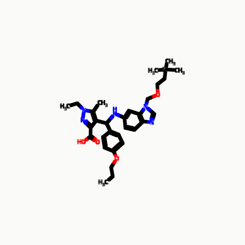 CCCOc1ccc(C(Nc2ccc3ncn(COCC[Si](C)(C)C)c3c2)c2c(C(=O)O)nn(CC)c2C)cc1